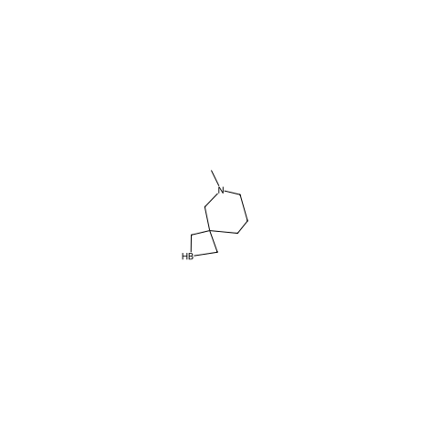 CN1CCCC2(CBC2)C1